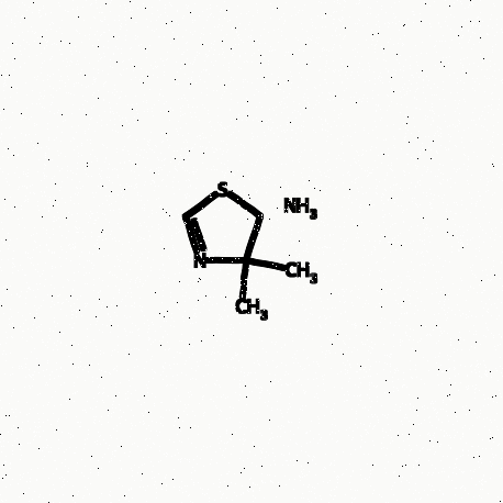 CC1(C)CSC=N1.N